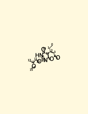 CCc1cc(=O)oc2nc(OCC(C)OC)[nH]c(=O)c12